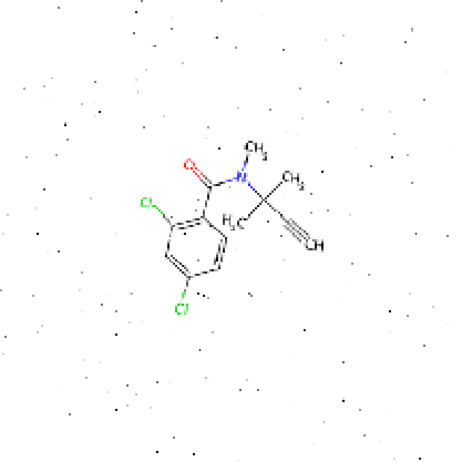 C#CC(C)(C)N(C)C(=O)c1ccc(Cl)cc1Cl